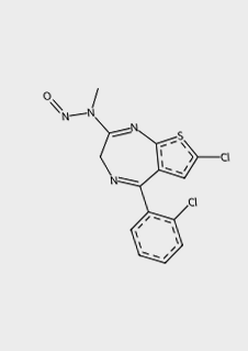 CN(N=O)C1=Nc2sc(Cl)cc2C(c2ccccc2Cl)=NC1